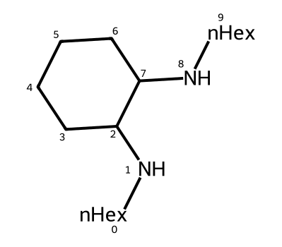 CCCCCCNC1CCCCC1NCCCCCC